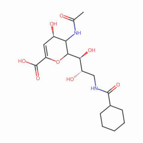 CC(=O)NC1C([C@@H](O)[C@@H](O)CNC(=O)C2CCCCC2)OC(C(=O)O)=C[C@H]1O